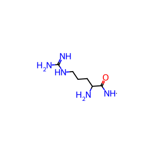 [NH]C(=O)C(N)CCCNC(=N)N